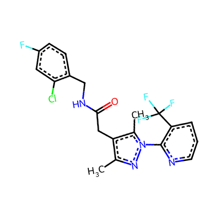 Cc1nn(-c2ncccc2C(F)(F)F)c(C)c1CC(=O)NCc1ccc(F)cc1Cl